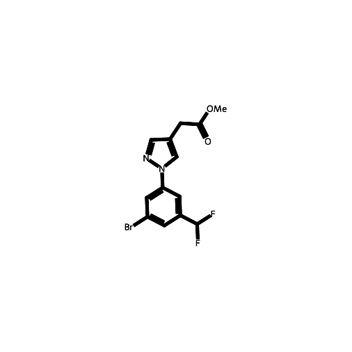 COC(=O)Cc1cnn(-c2cc(Br)cc(C(F)F)c2)c1